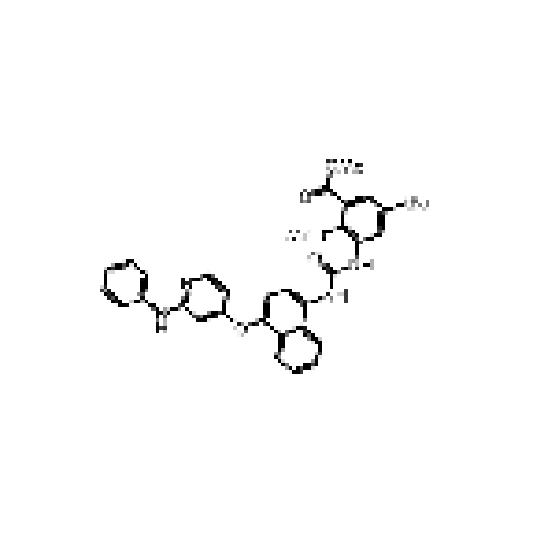 COC(=O)c1cc(C(C)(C)C)cc(NC(=O)Nc2ccc(Oc3ccnc(Nc4ccccc4)c3)c3ccccc23)c1OC